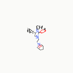 CC(C)C1CN(CCN2CC3CCC(C2)O3)C(=O)N1C